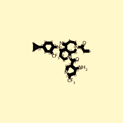 C=CC(=O)N1CCc2nn(-c3ccc(C4CC4)cc3C(F)(F)F)c3c2[C@H](C1)N(C(=O)c1cnc(C(F)(F)F)cc1N)CC3